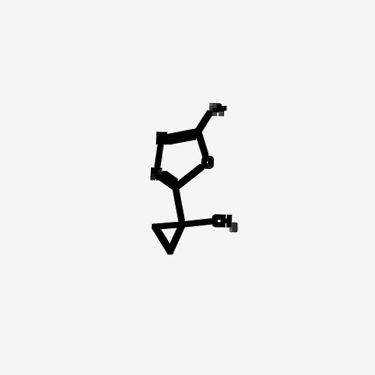 CC(C)c1nnc(C2(C)CC2)o1